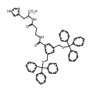 O=C(CCNC(=O)c1cc(CSC(c2ccccc2)(c2ccccc2)c2ccccc2)cc(CSC(c2ccccc2)(c2ccccc2)c2ccccc2)c1)N[C@@H](Cc1c[nH]cn1)C(=O)O